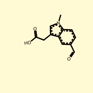 Cn1cc(CC(=O)O)c2cc(C=O)ccc21